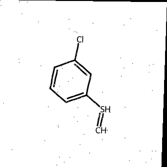 [CH]=[SH]c1cccc(Cl)c1